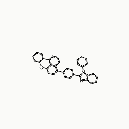 c1ccc(-n2c(-c3ccc(-c4ccc5c6c(cccc46)-c4ccccc4O5)cc3)nc3ccccc32)cc1